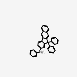 c1ccc(Nc2ccc3c(c2)C(c2ccccc2)(c2ccccc2)c2cc4ccccc4cc2-3)cc1